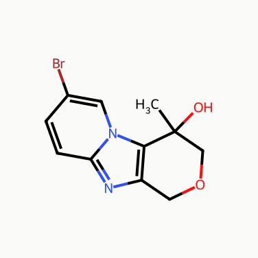 CC1(O)COCc2nc3ccc(Br)cn3c21